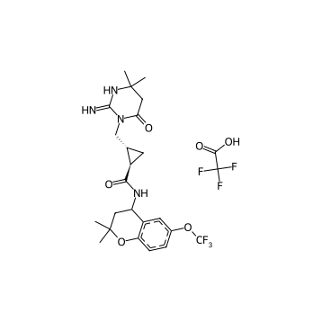 CC1(C)CC(=O)N(C[C@@H]2C[C@H]2C(=O)NC2CC(C)(C)Oc3ccc(OC(F)(F)F)cc32)C(=N)N1.O=C(O)C(F)(F)F